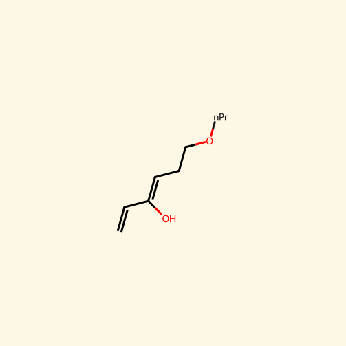 C=CC(O)=CCCOCCC